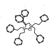 c1ccc(CC[Si](CCc2ccccc2)(CCc2ccccc2)[Cr][Si](CCc2ccccc2)(CCc2ccccc2)CCc2ccccc2)cc1